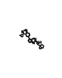 COc1ncnc2ccc(-c3ccn4nc(NCC5CCCO5)ncc34)cc12